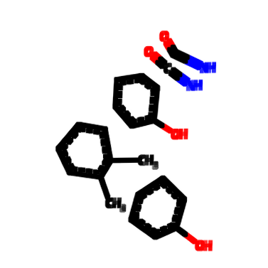 Cc1ccccc1C.N=C=O.N=C=O.Oc1ccccc1.Oc1ccccc1